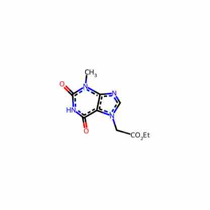 CCOC(=O)Cn1cnc2c1c(=O)[nH]c(=O)n2C